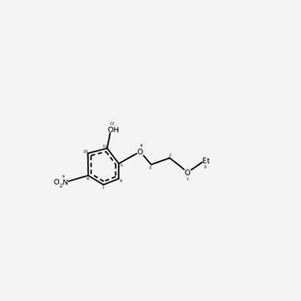 CCOCCOc1ccc([N+](=O)[O-])cc1O